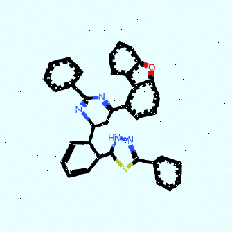 C1=CC(C2CC(c3cccc4oc5ccccc5c34)=NC(c3ccccc3)=N2)C(C2NN=C(c3ccccc3)S2)C=C1